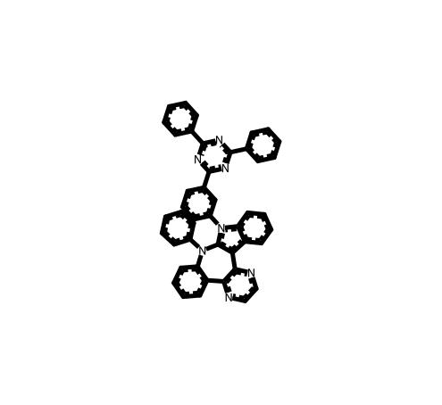 c1ccc(-c2nc(-c3ccccc3)nc(-c3cccc(-n4c5c(c6ccccc64)-c4nccnc4-c4ccccc4N5c4ccccc4)c3)n2)cc1